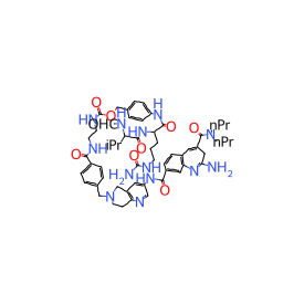 CCCN(CCC)C(=O)C1=Cc2ccc(C(=O)Nc3cnc4c(c3)CN(Cc3ccc(C(=O)NCCNC(=O)OCc5ccc(NC(=O)C(CCCNC(N)=O)NC(=O)C(NC=O)C(C)C)cc5)cc3)CC4)cc2N=C(N)C1